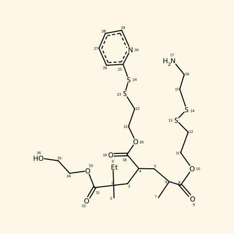 CCC(C)(CC(CC(C)C(=O)OCCSSCCN)C(=O)OCCSSc1ccccn1)C(=O)OCCO